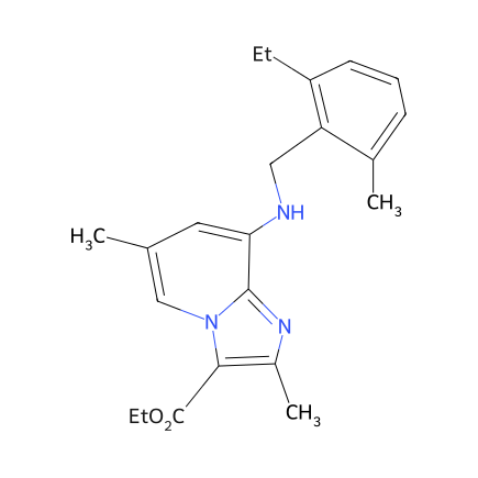 CCOC(=O)c1c(C)nc2c(NCc3c(C)cccc3CC)cc(C)cn12